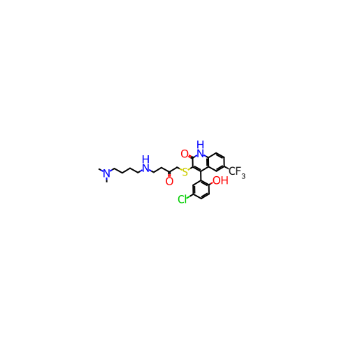 CN(C)CCCCNCCC(=O)CSc1c(-c2cc(Cl)ccc2O)c2cc(C(F)(F)F)ccc2[nH]c1=O